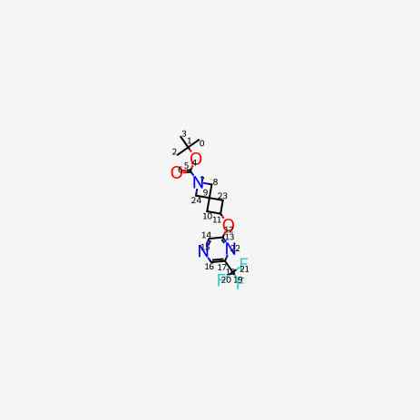 CC(C)(C)OC(=O)N1CC2(CC(Oc3cncc(C(F)(F)F)n3)C2)C1